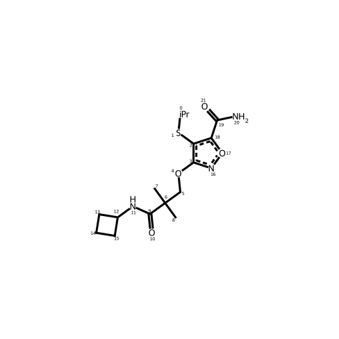 CC(C)Sc1c(OCC(C)(C)C(=O)NC2CCC2)noc1C(N)=O